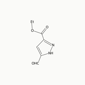 CCOC(=O)c1cc(C=O)[nH]n1